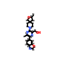 Cc1nc(N2CCC3(CC2)CO[C@@H](C)C3)c(CO)nc1-c1ccc2ncoc2c1